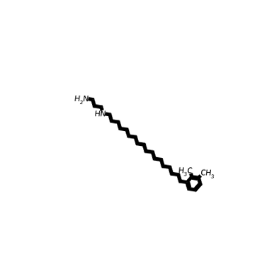 Cc1cccc(CCCCCCCCCCCCCCCCCCNCCCN)c1C